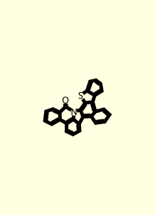 O=c1c2ccccc2c2cccc3c4c5ccccc5c5c6ccccc6sc5c4n1c23